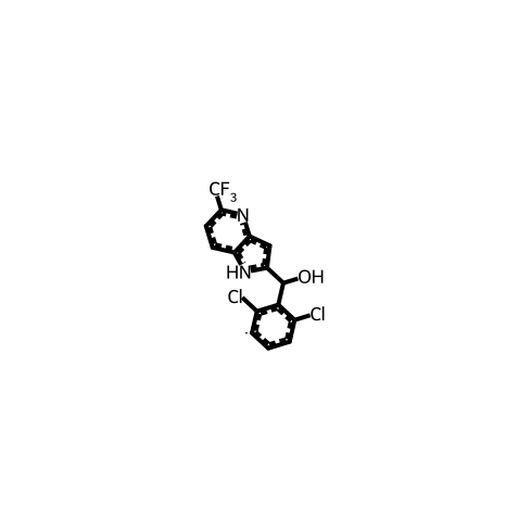 OC(c1cc2nc(C(F)(F)F)ccc2[nH]1)c1c(Cl)[c]ccc1Cl